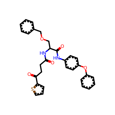 O=C(CCC(=O)c1cccs1)NC(COCc1ccccc1)C(=O)Nc1ccc(Oc2ccccc2)cc1